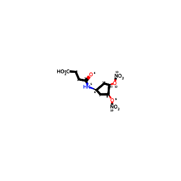 O=C(O)CCC(=O)N[C@@H]1C[C@H](O[N+](=O)[O-])[C@H](O[N+](=O)[O-])C1